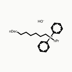 CCCCCCCCCCCCCCCC[N+](CCC)(c1ccccc1)c1ccccc1.[OH-]